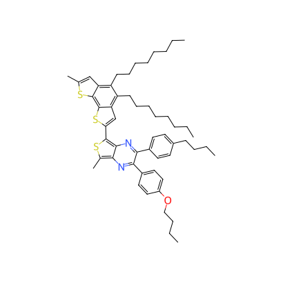 CCCCCCCCc1c(CCCCCCCC)c2cc(-c3sc(C)c4nc(-c5ccc(OCCCC)cc5)c(-c5ccc(CCCC)cc5)nc34)sc2c2sc(C)cc12